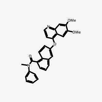 COc1cc2nccc(Oc3ccc4c(C(=O)N(C)c5ccccc5)cccc4c3)c2cc1OC